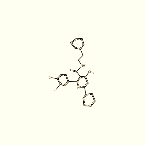 Cc1nc(-c2cccnc2)nc(-c2ccc(Cl)c(Cl)c2)c1C(=O)NCCc1ccccc1